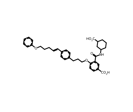 O=C(O)c1ccc(OCCCc2ccc(/C=C/CCCOc3ccccc3)cc2)c(C(=O)NC2CCCC(C(=O)O)C2)c1